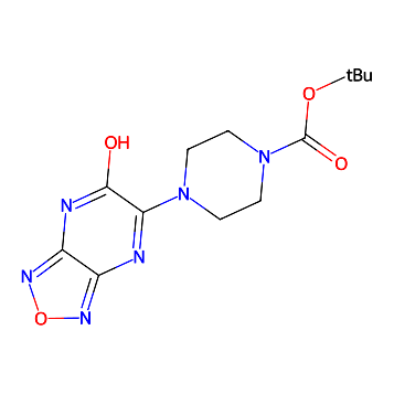 CC(C)(C)OC(=O)N1CCN(c2nc3nonc3nc2O)CC1